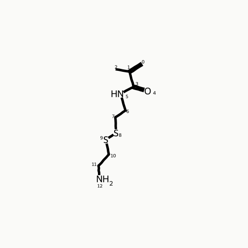 C=C(C)C(=O)NCCSSCCN